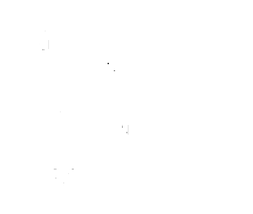 O=C(O)c1cc(Cl)nc(C2CC2)n1